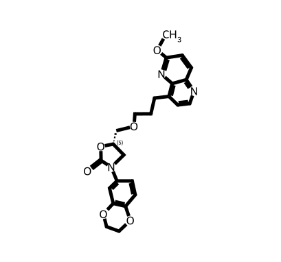 COc1ccc2nccc(CCCOC[C@@H]3CN(c4ccc5c(c4)OCCO5)C(=O)O3)c2n1